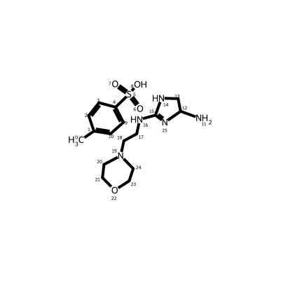 Cc1ccc(S(=O)(=O)O)cc1.NC1CNC(NCCN2CCOCC2)=N1